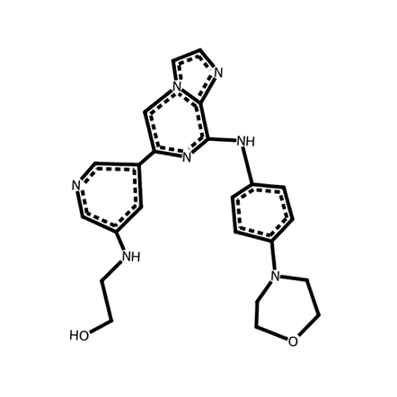 OCCNc1cncc(-c2cn3ccnc3c(Nc3ccc(N4CCOCC4)cc3)n2)c1